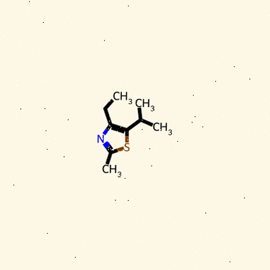 CCc1nc(C)sc1C(C)C